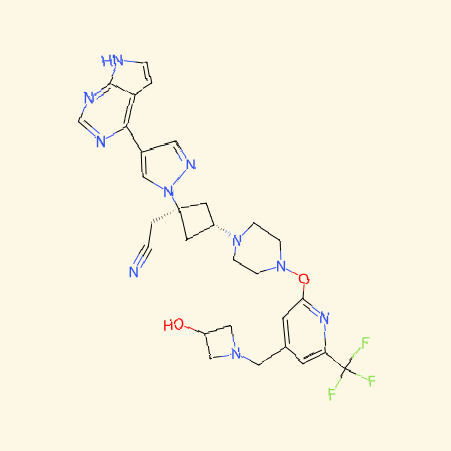 N#CC[C@]1(n2cc(-c3ncnc4[nH]ccc34)cn2)C[C@H](N2CCN(Oc3cc(CN4CC(O)C4)cc(C(F)(F)F)n3)CC2)C1